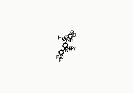 CC(C)n1nc(-c2cccc(OC(F)F)c2)c2c1C[C@H](C(=O)NC1(C)CCS(=O)(=O)CC1)CC2